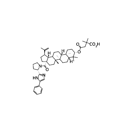 C=C(C)[C@@H]1CC[C@]2(C(=O)N3CCC[C@H]3c3ncc(-c4ccccc4)[nH]3)CC[C@]3(C)C(CC[C@@H]4[C@@]5(C)CC[C@H](OC(=O)CC(C)(C)C(=O)O)C(C)(C)[C@@H]5CC[C@]43C)[C@@H]12